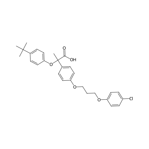 CC(C)(C)c1ccc(OC(C)(C(=O)O)c2ccc(OCCCOc3ccc(Cl)cc3)cc2)cc1